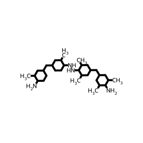 CC1CC(CC2CCC(NNC3C(C)CC(CC4CC(C)C(N)C(C)C4)CC3C)C(C)C2)CCC1N